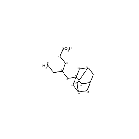 NCC(CCS(=O)(=O)O)CC12CC3CC(CC(C3)C1)C2